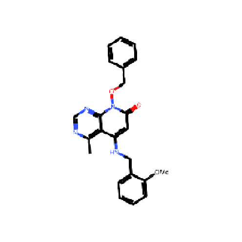 COc1ccccc1CNc1cc(=O)n(OCc2ccccc2)c2ncnc(C)c12